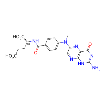 CN(c1ccc(C(=O)N[C@@H](CCC(=O)O)C(=O)O)cc1)c1cnc2[nH]c(N)nc(=O)c2n1